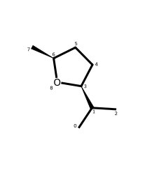 CC(C)[C@@H]1CC[C@H](C)O1